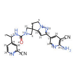 CC(NC(=O)N1CC2(CCn3nc(-c4cnc(N)c(C#N)c4)cc32)C1)c1ccnc(C#N)c1